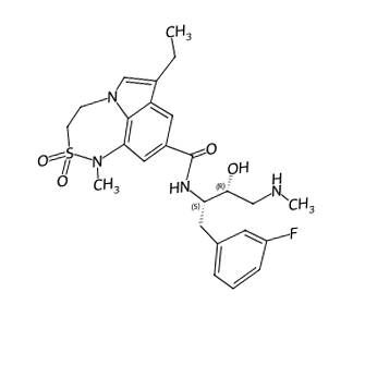 CCc1cn2c3c(cc(C(=O)N[C@@H](Cc4cccc(F)c4)[C@H](O)CNC)cc13)N(C)S(=O)(=O)CC2